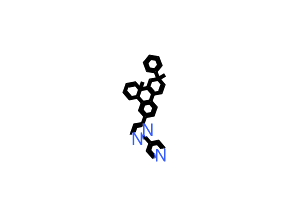 CC1(c2ccccc2)C=CC2=C(C1)C1(C)C=CC=CC1c1cc(-c3ccnc(-c4ccncc4)n3)ccc12